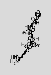 CC[C@@](C)(OC(=O)OCCCC/C(=C/N)N=N)C(=O)[C@H](CC(C)C)NC(=O)CNC(=O)[C@H](CC(C)C)NC(=O)CNC(=O)CN1CCOCC1